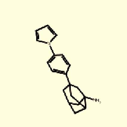 NC12CC3CC1CC(c1ccc(-n4cccc4)cc1)(C3)C2